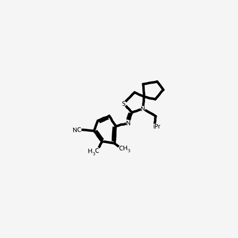 Cc1c(C#N)ccc(N=C2SCC3(CCCC3)N2CC(C)C)c1C